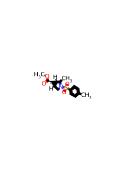 COC(=O)[C@@H]1[C@H]2CN(S(=O)(=O)c3ccc(C)cc3)C(C)[C@H]21